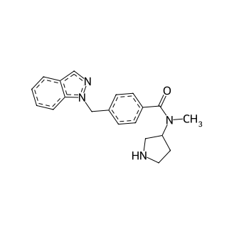 CN(C(=O)c1ccc(Cn2ncc3ccccc32)cc1)C1CCNC1